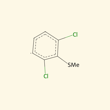 CSc1c(Cl)[c]ccc1Cl